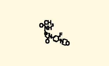 CC(=O)NC[C@@H]1CC(=O)N(c2ccc(N3CCOCC3)c(F)c2)C1